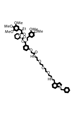 CC[C@H](C(=O)N1CCCC[C@H]1C(=O)O[C@H](CCc1ccc(OC)c(OC)c1)c1cccc(OCC(=O)NCCOCCOCCOCCNCc2cccc3c2ccn3Cc2ccccc2)c1)c1cc(OC)c(OC)c(OC)c1